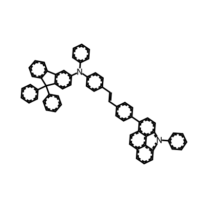 C(=C\c1ccc(N(c2ccccc2)c2ccc3c(c2)-c2ccccc2C3(c2ccccc2)c2ccccc2)cc1)/c1ccc(-c2ccc3c4c2ccc2cccc(c24)n3-c2ccccc2)cc1